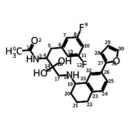 CC(=O)NC(Cc1cc(F)cc(F)c1)C(O)(O)CNC1CCCc2ccc(-c3ccco3)cc21